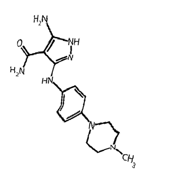 CN1CCN(c2ccc(Nc3n[nH]c(N)c3C(N)=O)cc2)CC1